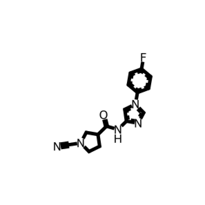 N#CN1CCC(C(=O)Nc2cn(-c3ccc(F)cc3)cn2)C1